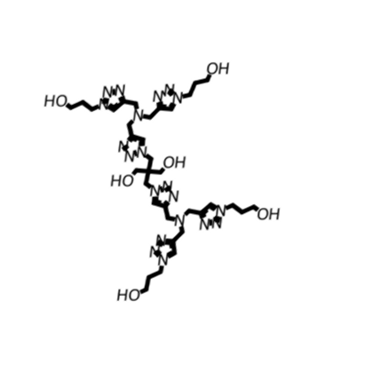 OCCCn1cc(CN(Cc2cn(CCCO)nn2)Cc2cn(CC(CO)(CO)Cn3cc(CN(Cc4cn(CCCO)nn4)Cc4cn(CCCO)nn4)nn3)nn2)nn1